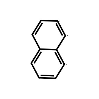 [c]1[c]c2[c]cccc2cc1